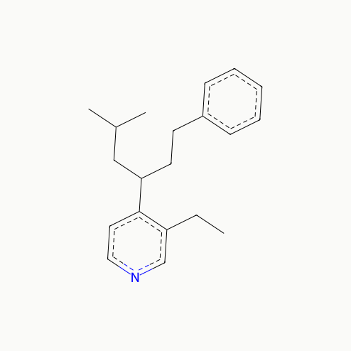 CCc1cnccc1C(CCc1ccccc1)CC(C)C